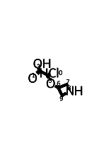 Cl.O=C(O)COC1CNC1